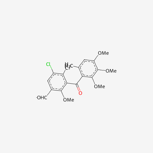 COc1cc(C)c(C(=O)c2c(C)c(Cl)cc([C]=O)c2OC)c(OC)c1OC